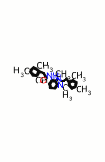 Cc1cc(C)c(CC(=O)Nc2cccc3nc(Cc4c(C)cc(C)cc4C)n(C)c23)c(C)c1